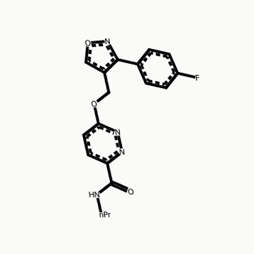 CCCNC(=O)c1ccc(OCc2conc2-c2ccc(F)cc2)nn1